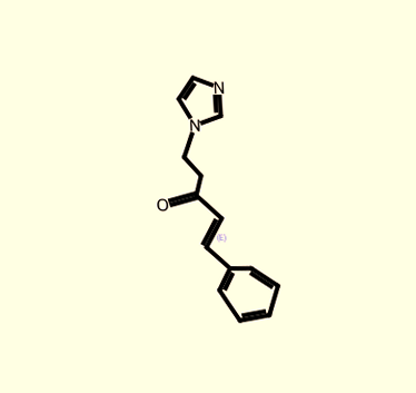 O=C(/C=C/c1ccccc1)CCn1ccnc1